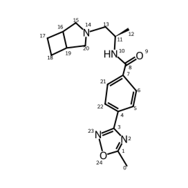 Cc1nc(-c2ccc(C(=O)N[C@H](C)CN3CC4CCC4C3)cc2)no1